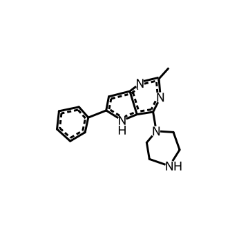 Cc1nc(N2CCNCC2)c2[nH]c(-c3ccccc3)cc2n1